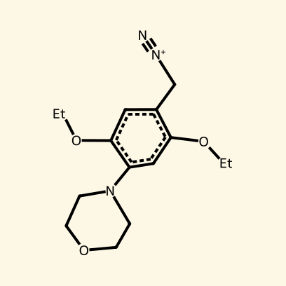 CCOc1cc(N2CCOCC2)c(OCC)cc1C[N+]#N